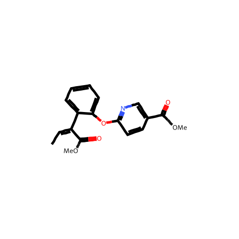 CC=C(C(=O)OC)c1ccccc1Oc1ccc(C(=O)OC)cn1